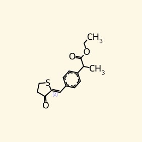 CCOC(=O)C(C)c1ccc(/C=C2\SCCC2=O)cc1